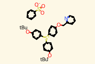 CC(C)(C)Oc1ccc([S+](c2ccc(OCc3ccccn3)cc2)c2ccc(OC(C)(C)C)cc2)cc1.O=S(=O)([O-])c1ccccc1